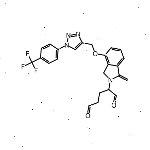 C=C1c2cccc(OCc3cn(-c4ccc(C(F)(F)F)cc4)nn3)c2CN1C(C=O)CCC=O